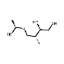 C[C@H](O)OC[C@@H](C)[C@@H](O)CO